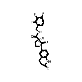 O=C1CCc2cc(N3CC[C@](O)(C(=O)NCc4ccc(F)c(F)c4F)C3=O)ccc2N1